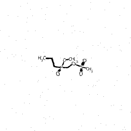 CCCP(=O)(COS(C)(=O)=O)OC